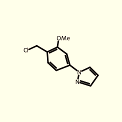 COc1cc(-n2cccn2)ccc1CCl